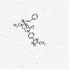 Cc1nc(-c2ccc(N3CC(CN(C)S(=O)(=O)C=Cc4ccccc4)OC3=O)cc2)no1